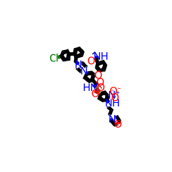 CNC(=O)c1cccc(Oc2cc(N3CCN(Cc4ccccc4-c4ccc(Cl)cc4)CC3)ccc2C(=O)NS(=O)(=O)c2ccc(NCCCN3CCOCC3)c([N+](=O)[O-])c2)c1